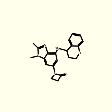 Cc1nc2c(NC3CCOc4ccccc43)cc(N3CCC3=O)cc2n1C